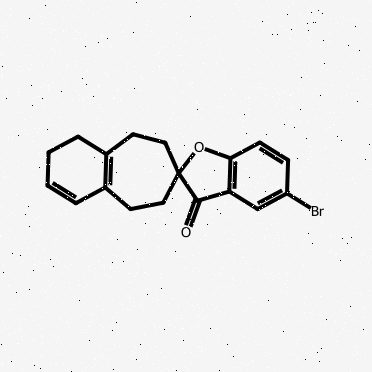 O=C1c2cc(Br)ccc2OC12CCC1=C(CCC=C1)CC2